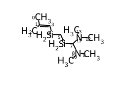 CC(C)=C[SiH2]C[SiH2]C(N(C)C)N(C)C